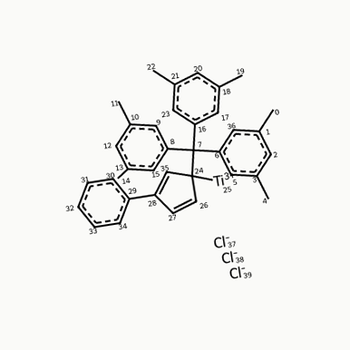 Cc1cc(C)cc(C(c2cc(C)cc(C)c2)(c2cc(C)cc(C)c2)[C]2([Ti+3])C=CC(c3ccccc3)=C2)c1.[Cl-].[Cl-].[Cl-]